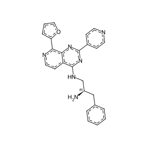 N[C@@H](CNc1nc(-c2ccncc2)nc2c(-c3ccco3)nccc12)Cc1ccccc1